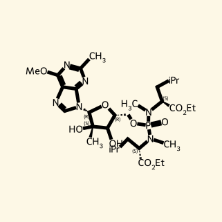 CCOC(=O)[C@H](CC(C)C)N(C)P(=O)(OC[C@H]1O[C@@H](n2cnc3c(OC)nc(C)nc32)[C@@](C)(O)C1O)N(C)[C@@H](CC(C)C)C(=O)OCC